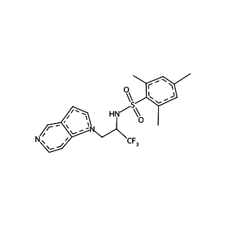 Cc1cc(C)c(S(=O)(=O)NC(Cn2ccc3cnccc32)C(F)(F)F)c(C)c1